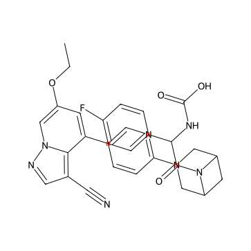 CCOc1cc(-c2ccc(N3CC4CC(C3)N4C(=O)C(NC(=O)O)c3ccc(F)cc3)nc2)c2c(C#N)cnn2c1